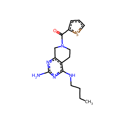 CCCCNc1nc(N)nc2c1CCN(C(=O)c1cccs1)C2